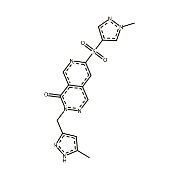 Cc1cc(Cn2ncc3cc(S(=O)(=O)c4cnn(C)c4)ncc3c2=O)n[nH]1